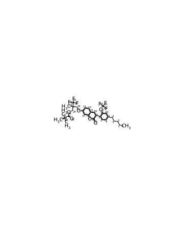 CCCCCc1ccc(-c2cc3ccc(OCC(C)(COC(=O)C(C)(C)C)C(F)(F)F)cc3oc2=O)c(OC(F)(F)F)c1